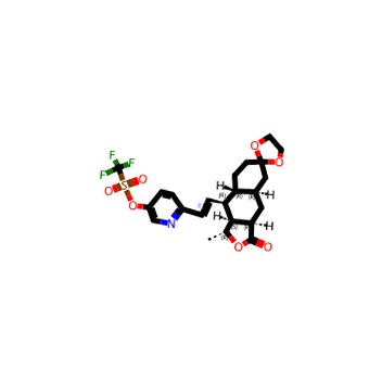 C[C@H]1OC(=O)[C@@H]2C[C@@H]3CC4(CC[C@H]3[C@H](/C=C/c3ccc(OS(=O)(=O)C(F)(F)F)cn3)[C@H]12)OCCO4